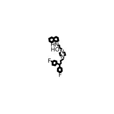 OC(CNc1cccc2ccccc12)CN1CCN(CCCC(c2ccc(F)cc2)c2ccc(F)cc2)CC1